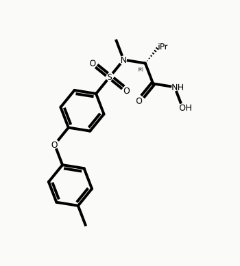 Cc1ccc(Oc2ccc(S(=O)(=O)N(C)[C@@H](C(=O)NO)C(C)C)cc2)cc1